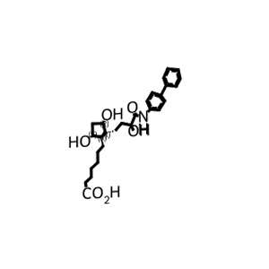 O=C(O)CCCCCC[C@@H]1[C@@H](CCC(O)C(=O)Nc2ccc(-c3ccccc3)cc2)[C@H](O)C[C@@H]1O